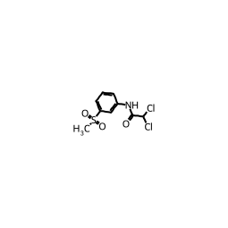 CS(=O)(=O)c1cccc(NC(=O)C(Cl)Cl)c1